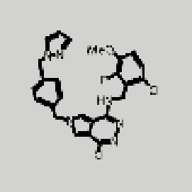 COc1ccc(Cl)c(CNc2nnc(Cl)c3cn(Cc4ccc(Cn5cccn5)cc4)cc23)c1F